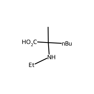 CCCCC(C)(NCC)C(=O)O